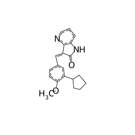 COc1ccc(C=C2C(=O)Nc3cccnc32)cc1C1CCCC1